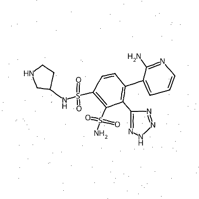 Nc1ncccc1-c1ccc(S(=O)(=O)NC2CCNC2)c(S(N)(=O)=O)c1-c1nn[nH]n1